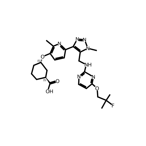 Cc1nc(-c2nnn(C)c2CNc2nccc(OCC(C)(C)F)n2)ccc1O[C@H]1CCC[C@H](C(=O)O)C1